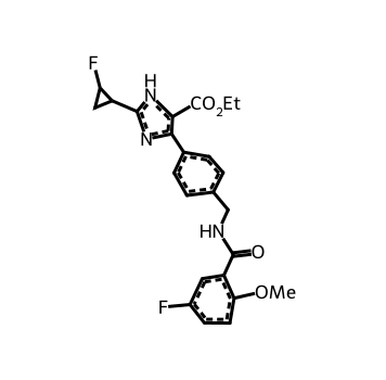 CCOC(=O)c1[nH]c(C2CC2F)nc1-c1ccc(CNC(=O)c2cc(F)ccc2OC)cc1